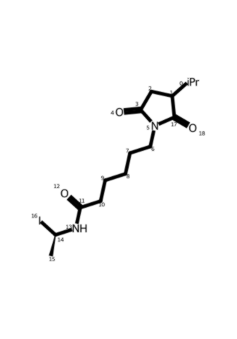 CC(C)C1CC(=O)N(CCCCCC(=O)N[C@@H](C)I)C1=O